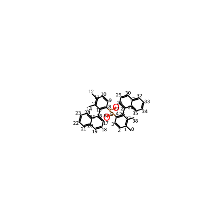 Cc1ccc(S(=O)(=O)c2ccc(C)c(C)c2-c2cccc3ccccc23)c(-c2cccc3ccccc23)c1C